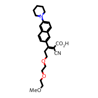 COCCOCCOCCC(=C(C#N)C(=O)O)c1ccc2cc(N3CCCCC3)ccc2c1